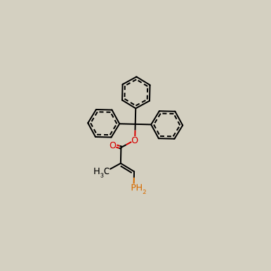 CC(=CP)C(=O)OC(c1ccccc1)(c1ccccc1)c1ccccc1